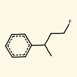 CC(CCF)c1ccccc1